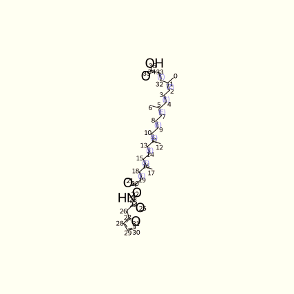 CC(=C/C=C/C(C)=C/C=C/C=C(C)/C=C/C=C(C)/C=C/C(=O)ONC(=O)Cc1ccco1)/C=C/C(=O)O